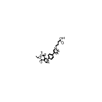 CCOC(=O)c1cnn(-c2ccc(-c3cn(CCCC(=O)O)nn3)cc2)c1C(F)(F)F